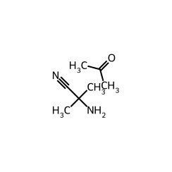 CC(C)(N)C#N.CC(C)=O